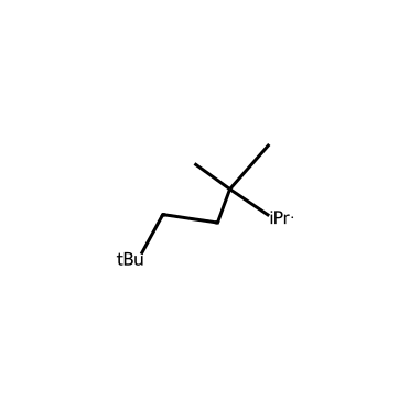 C[C](C)C(C)(C)CCC(C)(C)C